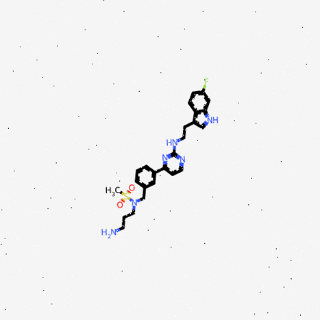 CS(=O)(=O)N(CCCN)Cc1cccc(-c2ccnc(NCCc3c[nH]c4cc(F)ccc34)n2)c1